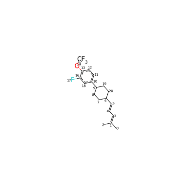 CC(C)=C/C=C/C1CCC(c2ccc(OC(F)(F)F)c(F)c2)CC1